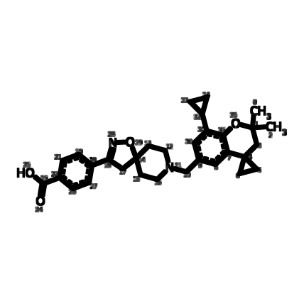 CC1(C)CC2(CC2)c2cc(CN3CCC4(CC3)CC(c3ccc(C(=O)O)cc3)=NO4)cc(C3CC3)c2O1